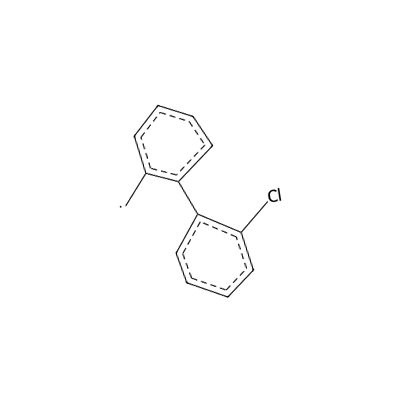 [CH2]c1ccccc1-c1ccccc1Cl